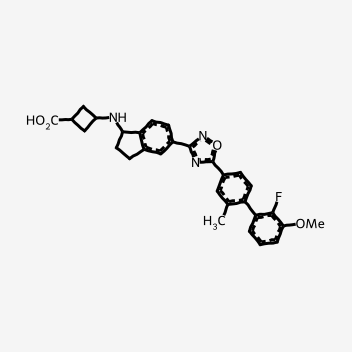 COc1cccc(-c2ccc(-c3nc(-c4ccc5c(c4)CCC5NC4CC(C(=O)O)C4)no3)cc2C)c1F